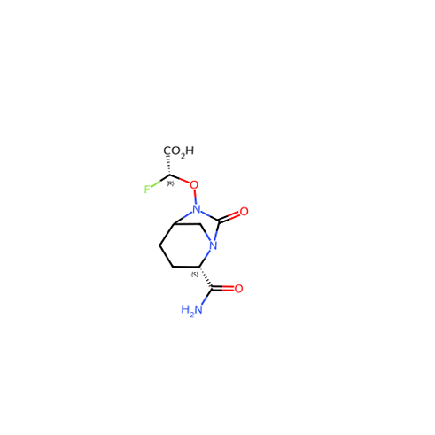 NC(=O)[C@@H]1CCC2CN1C(=O)N2O[C@H](F)C(=O)O